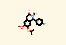 [2H]N1C(=O)Cc2cc(OC)c(OC(C)C)cc2C1c1ccc(Cl)cc1